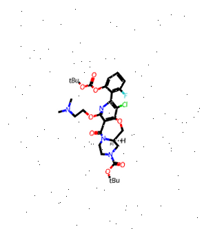 CN(C)CCOc1nc(-c2c(F)cccc2OC(=O)OC(C)(C)C)c(Cl)c2c1C(=O)N1CCN(C(=O)OC(C)(C)C)C[C@@H]1CO2